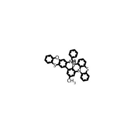 Cc1cc(-c2cc3c(cc2Nc2ccccc2)Oc2ccccc2S3)c2c(c1)N1c3ccccc3Sc3cccc(c31)B2